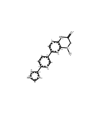 CCN1CC(=O)Nc2ncc(-c3ccc(-c4nc[nH]n4)nc3)nc21